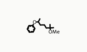 COC(C)(C)CCCC(C)Oc1ccccc1